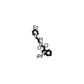 CCC1CCN(CCCNC(=O)C(=O)c2cn(C(C)C)c3ccccc23)CC1